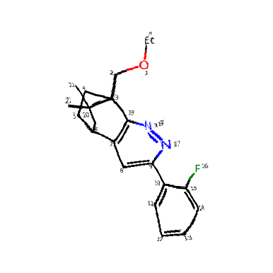 CCOCC12CCC(c3cc(-c4ccccc4F)nnc31)C2(C)C